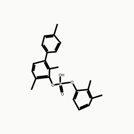 Cc1ccc(-c2ccc(C)c(OP(=O)(O)Oc3cccc(C)c3C)c2C)cc1